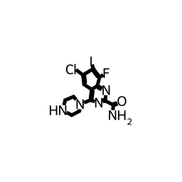 NC(=O)c1nc(N2CCNCC2)c2cc(Cl)c(I)c(F)c2n1